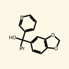 CC(C)C(O)(c1cccnc1)c1ccc2c(c1)OCO2